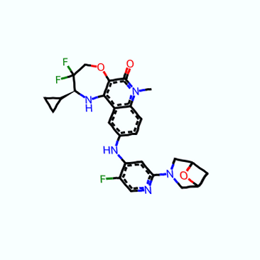 Cn1c(=O)c2c(c3cc(Nc4cc(N5CC6CC(C5)O6)ncc4F)ccc31)N[C@@H](C1CC1)C(F)(F)CO2